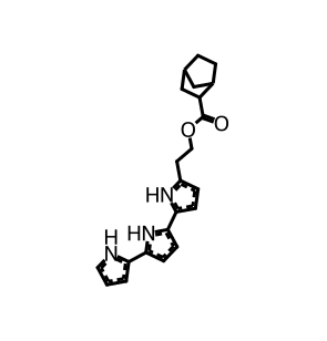 O=C(OCCc1ccc(-c2ccc(-c3ccc[nH]3)[nH]2)[nH]1)C1CC2CCC1C2